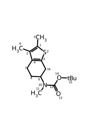 Cc1sc2c(c1C)CCC(N(C)C(=O)OC(C)(C)C)C2